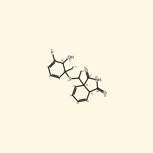 CC(SC1(F)C=CC=C(F)C1O)C12C=CC=CC1C(=O)NC2=O